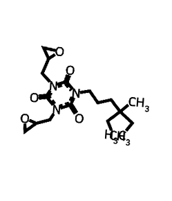 CCC(C)(CC)CCCn1c(=O)n(CC2CO2)c(=O)n(CC2CO2)c1=O